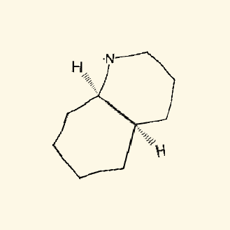 C1CC[C@H]2[N]CCC[C@H]2C1